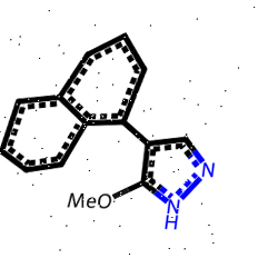 COc1[nH]n[c]c1-c1cccc2ccccc12